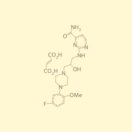 COc1ccc(F)cc1N1CCN(CC(O)CNc2nccc(C(N)=O)n2)CC1.O=C(O)C=CC(=O)O